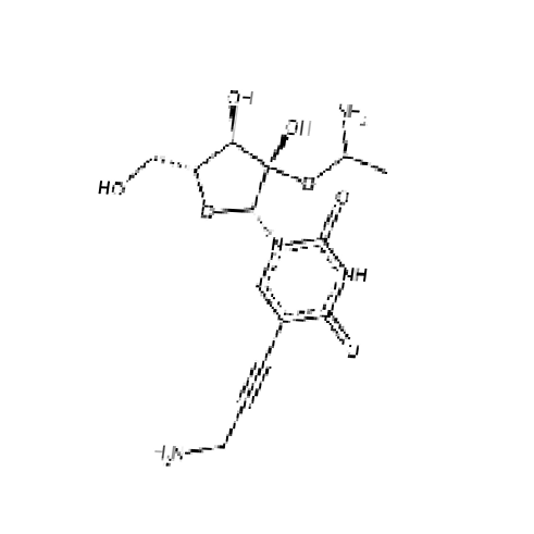 CC(N)O[C@@]1(O)[C@H](O)[C@@H](CO)O[C@H]1n1cc(C#CCN)c(=O)[nH]c1=O